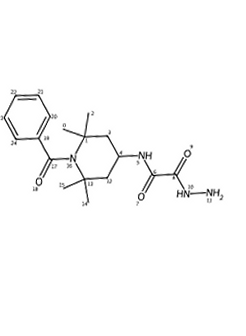 CC1(C)CC(NC(=O)C(=O)NN)CC(C)(C)N1C(=O)c1ccccc1